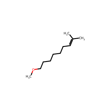 COCCCCCCC=C(C)C